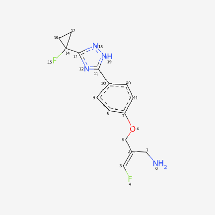 NC/C(=C\F)COc1ccc(-c2nc(C3(F)CC3)n[nH]2)cc1